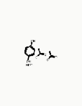 CC(=O)[O-].CC(=O)[O-].Oc1ccc(O)cc1.[Mn+2]